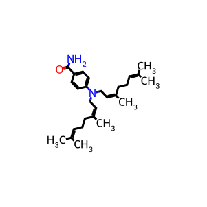 CC(C)=CCCC(C)=CCN(CC=C(C)CCC=C(C)C)c1ccc(C(N)=O)cc1